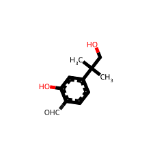 CC(C)(CO)c1ccc(C=O)c(O)c1